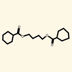 O=C(OCCCCOC(=O)C1CCCCC1)C1CCCCC1